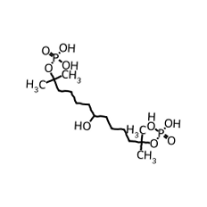 CC(C)(CCCCC(O)CCCCC(C)(C)OP(=O)(O)O)OP(=O)(O)O